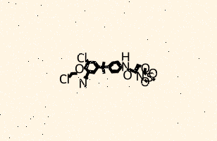 CC(C)(c1ccc(NC(=O)c2coc(S(C)(=O)=O)n2)cc1)c1cc(Cl)c(OCCCl)c(C#N)c1